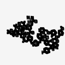 COc1ccc(COC(=O)[C@@H](Cc2ccccc2OCc2ccnc(-c3ccccc3OC)n2)Oc2ncnc3sc(-c4ccc(F)cc4)c(-c4ccc(OCCN5CC[N+](C)(Cc6ccc(NC(=O)[C@H](CCCNC(N)=O)NC(=O)[C@@H](NC(=O)OC(C)(C)C)C(C)C)cc6CN(C)C(=O)C[C@H](NC(=O)OCCC(=O)OC(C)(C)C)C(=O)OC(C)(C)C)CC5)c(Cl)c4C)c23)cc1